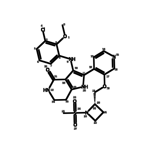 COc1c(Cl)cccc1Nc1c(-c2ccncc2OC[C@@H]2CCN2S(C)(=O)=O)[nH]c2c1C(=O)NCC2